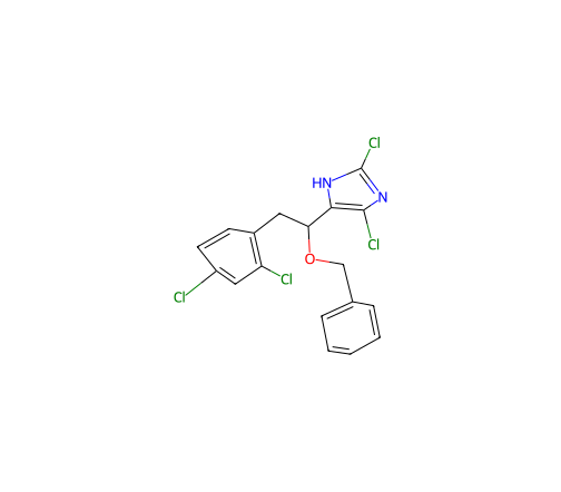 Clc1ccc(CC(OCc2ccccc2)c2[nH]c(Cl)nc2Cl)c(Cl)c1